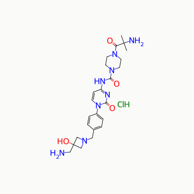 CC(C)(N)C(=O)N1CCN(C(=O)Nc2ccn(-c3ccc(CN4CC(O)(CN)C4)cc3)c(=O)n2)CC1.Cl